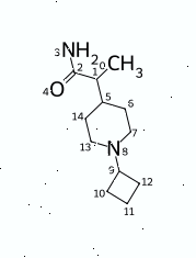 CC(C(N)=O)C1CCN(C2CCC2)CC1